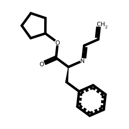 C=CC=N[C@@H](Cc1ccccc1)C(=O)OC1CCCC1